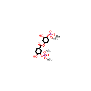 CCCCOP(=O)(OCCCC)OC1CCC(OC(=O)C2CCC(O)C(OP(=O)(OCCCC)OCCCC)C2)CC1O